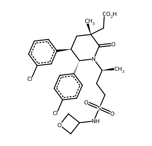 C[C@@H](CCS(=O)(=O)NC1COC1)N1C(=O)[C@@](C)(CC(=O)O)C[C@H](c2cccc(Cl)c2)[C@H]1c1ccc(Cl)cc1